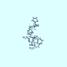 Cc1nc(NC2(C)CCc3cccc(O)c3C2)nc(C)c1C(=O)N[C@@H](CNC(=O)c1cccs1)C(=O)O